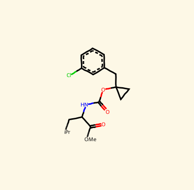 COC(=O)C(CC(C)C)NC(=O)OC1(Cc2cccc(Cl)c2)CC1